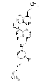 CCCCCc1ccc(OCc2ccc3c(c2F)C(F)(F)C(F)(F)c2c-3ccc(CCC)c2F)cc1F